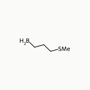 BCCCSC